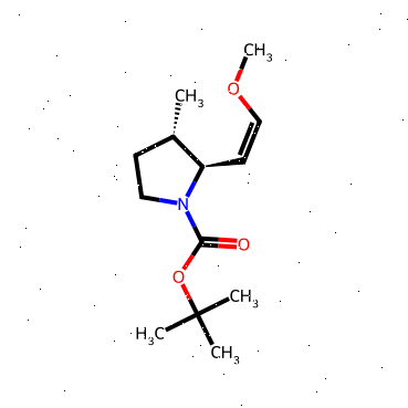 CO/C=C\[C@@H]1[C@@H](C)CCN1C(=O)OC(C)(C)C